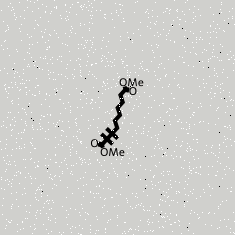 COC(=O)CCCCCCC(C)(C)C(C)(C)C(=O)OC